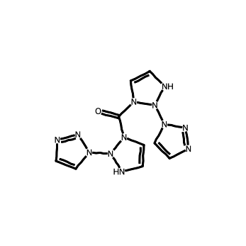 O=C(N1C=CNN1n1ccnn1)N1C=CNN1n1ccnn1